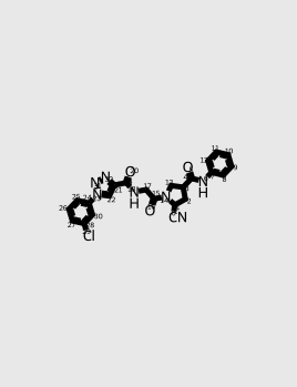 N#CC1CC(C(=O)Nc2ccccc2)CN1C(=O)CNC(=O)c1cn(-c2cccc(Cl)c2)nn1